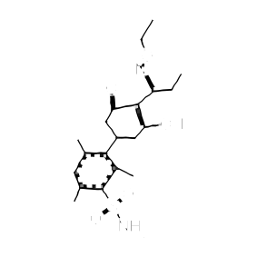 CCON=C(CC)C1=C(O)CC(c2c(C)cc(C)c(S(N)(=O)=O)c2C)CC1=O